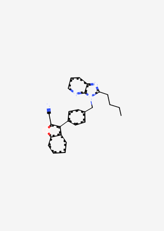 CCCCc1nc2cccnc2n1Cc1ccc(-c2c(C#N)oc3ccccc23)cc1